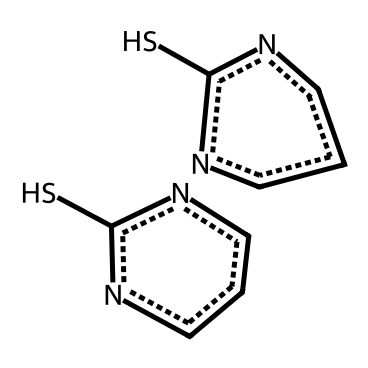 Sc1ncccn1.Sc1ncccn1